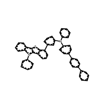 c1ccc(-c2ccc(-c3ccc(N(c4ccccc4)c4cccc(-c5cccc6c5sc5c7ccccc7n(-c7ccccc7)c65)c4)cc3)cc2)cc1